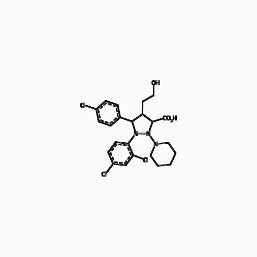 O=C(O)C1C(CCO)C(c2ccc(Cl)cc2)N(c2ccc(Cl)cc2Cl)N1N1CCCCC1